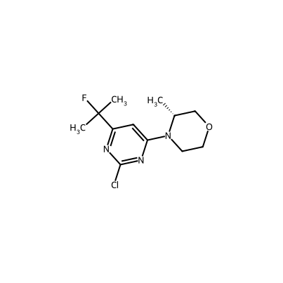 C[C@@H]1COCCN1c1cc(C(C)(C)F)nc(Cl)n1